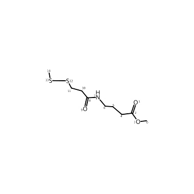 COC(=O)CCCNC(=O)CCSSC